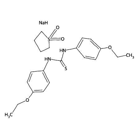 CCOc1ccc(NC(=S)Nc2ccc(OCC)cc2)cc1.O=S1(=O)CCCC1.[NaH]